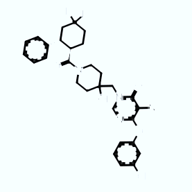 Nc1c(Oc2cccc(C(F)(F)F)c2)ncn(CC2(O)CCN(C(=O)[C@@H]3CCC(F)(F)C[C@H]3c3ccccc3)CC2)c1=O